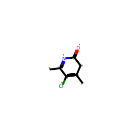 CC1=NC(=O)CC(C)=C1Cl